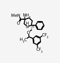 CNC(=O)[C@]1(N)CC[C@@](COC(C)c2cc(C(F)(F)F)cc(C(F)(F)F)c2)(c2ccccc2)NC1